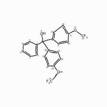 OC(c1ccncc1)(c1ccc(OC(F)(F)F)cc1)c1ccc(OC(F)(F)F)cc1